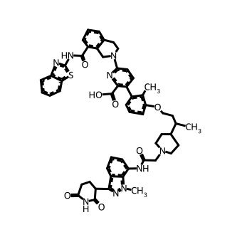 Cc1c(OCCC(C)C2CCN(CC(=O)Nc3cccc4c(C5CCC(=O)NC5=O)nn(C)c34)CC2)cccc1-c1ccc(N2CCc3cccc(C(=O)Nc4nc5ccccc5s4)c3C2)nc1C(=O)O